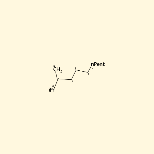 [CH2]CCCCCCCC([CH2])C(C)C